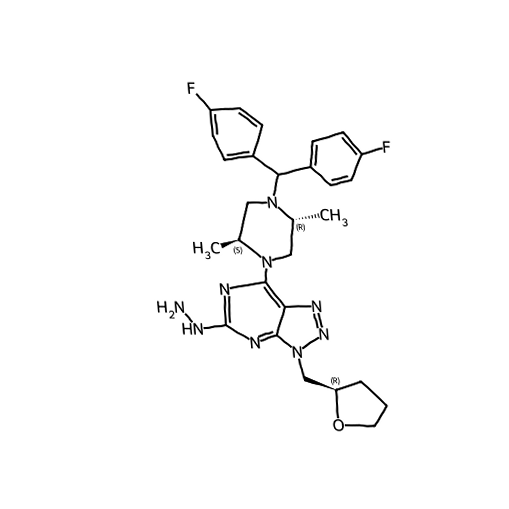 C[C@@H]1CN(c2nc(NN)nc3c2nnn3C[C@H]2CCCO2)[C@@H](C)CN1C(c1ccc(F)cc1)c1ccc(F)cc1